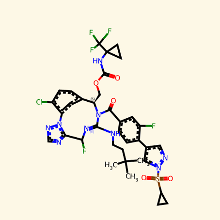 CC(C)(C)CCN/C1=N\C(F)c2ncnn2-c2cc(ccc2Cl)[C@@H](COC(=O)NC2(C(F)(F)F)CC2)N1C(=O)c1ccc(-c2cnn(S(=O)(=O)C3CC3)c2)c(F)c1